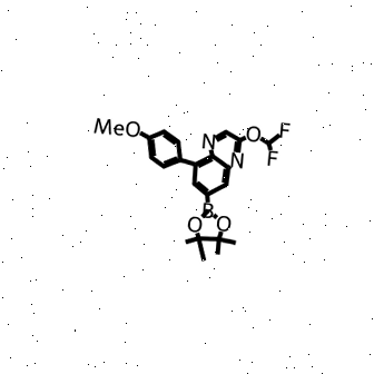 COc1ccc(-c2cc(B3OC(C)(C)C(C)(C)O3)cc3nc(OC(F)F)cnc23)cc1